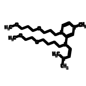 COCCCOCCCN1C=CN(C)C=C1N(/C=C\N(C)C)CCCCOCCOC